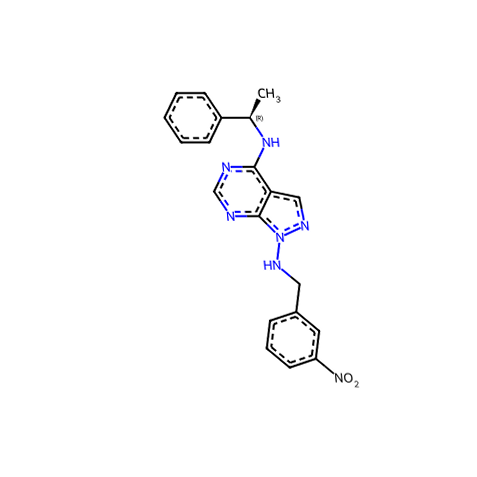 C[C@@H](Nc1ncnc2c1cnn2NCc1cccc([N+](=O)[O-])c1)c1ccccc1